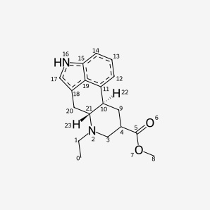 CCN1CC(C(=O)OC)C[C@@H]2c3cccc4[nH]cc(c34)C[C@H]21